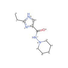 CCc1nc(C(=O)NN2CCCCC2)c[nH]1